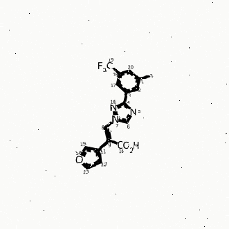 Cc1cc(-c2ncn(/C=C(\C(=O)O)c3ccoc3)n2)cc(C(F)(F)F)c1